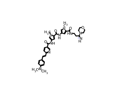 [H]/N=C(\CCNC(=O)c1cc(NC(=O)c2cc(NC(=O)c3ccc(C=Cc4ccc(N(C)C)cc4)nc3)cn2C)cn1C)N1CCOCC1